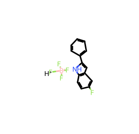 F[B-](F)(F)F.Fc1ccc2[nH]c(-c3ccccc3)cc2c1.[H+]